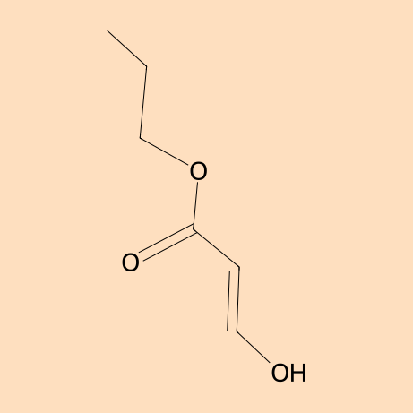 CCCOC(=O)C=CO